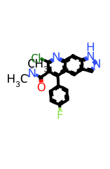 CN(C)C(=O)c1c(Cl)nc2cc3[nH]ncc3cc2c1-c1ccc(F)cc1